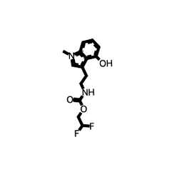 Cn1cc(CCNC(=O)OCC(F)F)c2c(O)cccc21